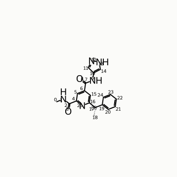 CNC(=O)c1cc(C(=O)Nc2cn[nH]c2)cc([C@@H](C)c2ccccc2)n1